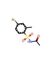 CC(=O)NS(=O)(=O)c1ccc(Br)cc1C